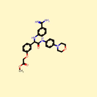 COC(=O)COc1cccc(C(Nc2cccc(C(=N)N)c2)C(=O)Nc2ccc(N3CCOCC3)cc2)c1